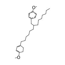 CCCCCCCC(CCCCCCC1=CC=C(OC)CC1)Cc1ccc(OC)cc1